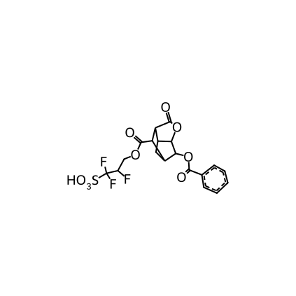 O=C(OC1C2CC3C1OC(=O)C3C2C(=O)OCC(F)C(F)(F)S(=O)(=O)O)c1ccccc1